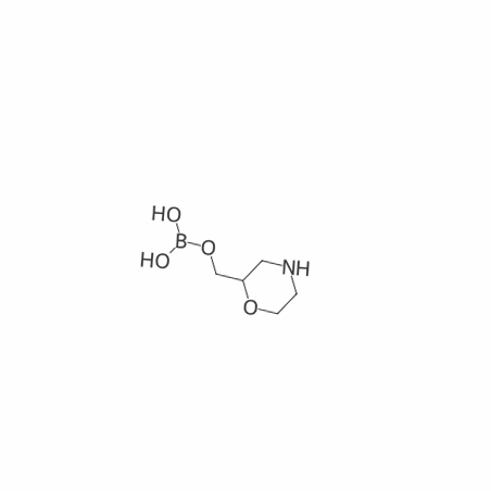 OB(O)OCC1CNCCO1